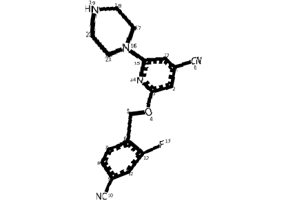 N#Cc1cc(OCc2ccc(C#N)cc2F)nc(N2CCNCC2)c1